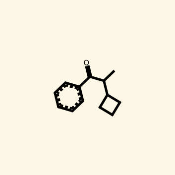 CC(C(=O)c1ccccc1)C1CCC1